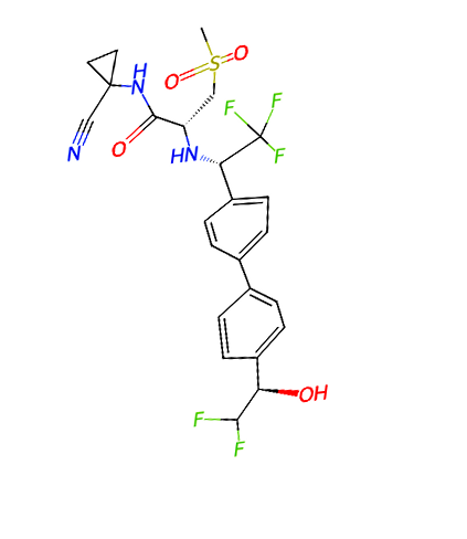 CS(=O)(=O)C[C@H](N[C@@H](c1ccc(-c2ccc([C@@H](O)C(F)F)cc2)cc1)C(F)(F)F)C(=O)NC1(C#N)CC1